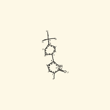 Cc1ccc(-c2ccc(C(C)(C)C)cc2)[nH]c1=O